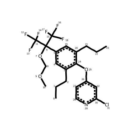 CCCc1cc(C(OCOC)(C(F)(F)F)C(F)(F)F)cc(CCC)c1Oc1ccnc(Cl)c1